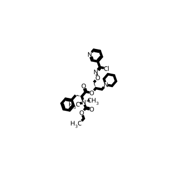 CCOC(=O)[N+](C)(C)[C@H](Cc1ccccc1)C(=O)O[C@H](CON=C(Cl)c1cccnc1)CN1CCCCC1